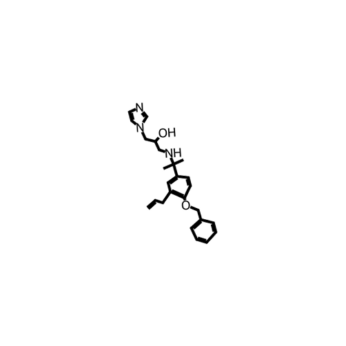 C=CCc1cc(C(C)(C)NCC(O)Cn2ccnc2)ccc1OCc1ccccc1